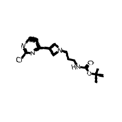 CC(C)(C)OC(=O)NCCCN1CC(c2ccnc(Cl)n2)C1